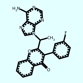 CC(c1oc2ccccc2c(=O)c1-c1cccc(F)c1)n1cnc2c(N)ncnc21